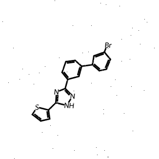 Brc1cccc(-c2cccc(-c3n[nH]c(-c4cccs4)n3)c2)c1